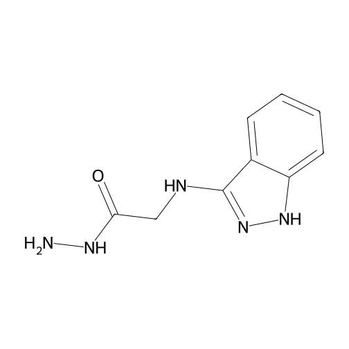 NNC(=O)CNc1n[nH]c2ccccc12